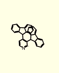 [c]1nccc(C2c3ccccc3-c3ccccc32)c1C1c2ccccc2-c2ccccc21